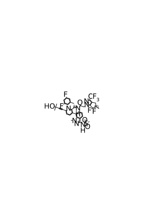 C[C@@H]1Cc2c(C(F)(F)F)nn(CC(=O)N[C@@H](Cc3cc(F)cc(F)c3)c3nc(C#CC(C)(C)O)ccc3-c3cccc4c(NS(C)(=O)=O)nn(C)c34)c2C1(F)F